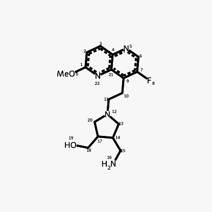 COc1ccc2ncc(F)c(CCN3CC(CN)C(CO)C3)c2n1